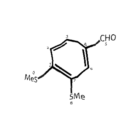 CSc1ccc(C=O)cc1SC